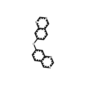 c1ncc2ccc(Oc3ccc4cncnc4c3)cc2n1